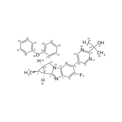 C[C@@H]1[C@@H]2c3nc4cc(F)c(-c5cnc(C(C)(C)O)nc5)cc4n3[C@@H](c3ccccc3Oc3ccccc3)[C@H]12